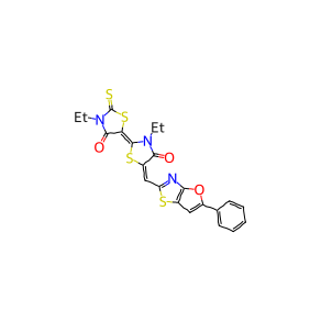 CCN1C(=O)/C(=c2\s/c(=C/c3nc4oc(-c5ccccc5)cc4s3)c(=O)n2CC)SC1=S